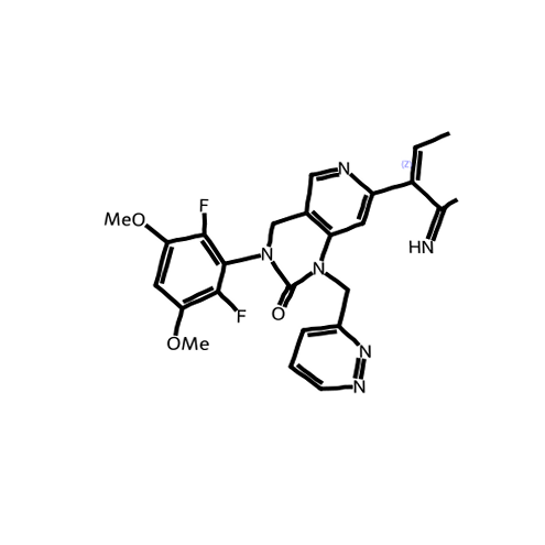 C/C=C(\C(C)=N)c1cc2c(cn1)CN(c1c(F)c(OC)cc(OC)c1F)C(=O)N2Cc1cccnn1